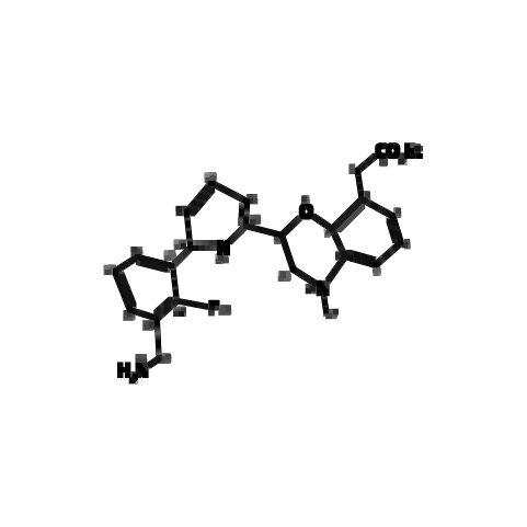 CCOC(=O)Cc1cccc2c1OC(c1cccc(-c3cccc(CN)c3F)n1)CN2C